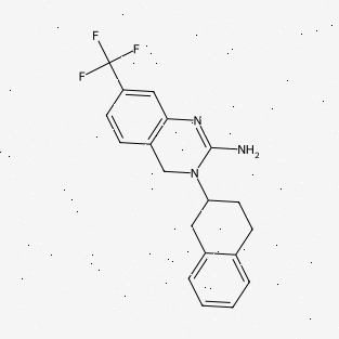 NC1=Nc2cc(C(F)(F)F)ccc2CN1C1CCc2ccccc2C1